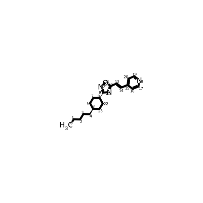 CCCCC[C@H]1CC[C@H](c2noc(C=Cc3ccncc3)n2)CC1